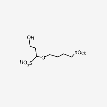 CCCCCCCCCCCCOC(CCO)S(=O)(=O)O